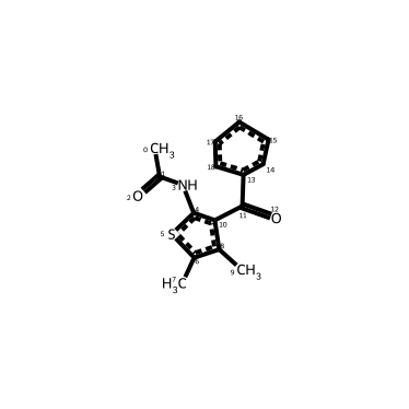 CC(=O)Nc1sc(C)c(C)c1C(=O)c1ccccc1